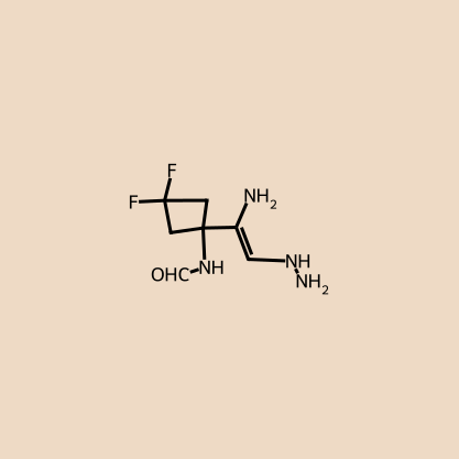 NN/C=C(\N)C1(NC=O)CC(F)(F)C1